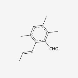 C/C=C/c1c(C)cc(C)c(C)c1C=O